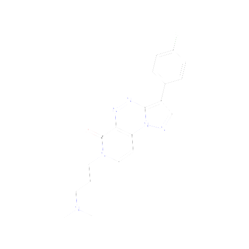 CN(C)CCCn1ccc2c(nnc3c(-c4ccc(Cl)cc4)cnn32)c1=O